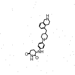 O=C1CCC(Nc2ccc(N3CCC(Cc4cccc5c4CCNC5)CC3)cc2)C(=O)N1